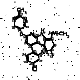 CNc1cc(F)cc2c1[nH]c1nc(Oc3cnc(C)nc3)nc(-c3ccc(Cl)cc3N)c12